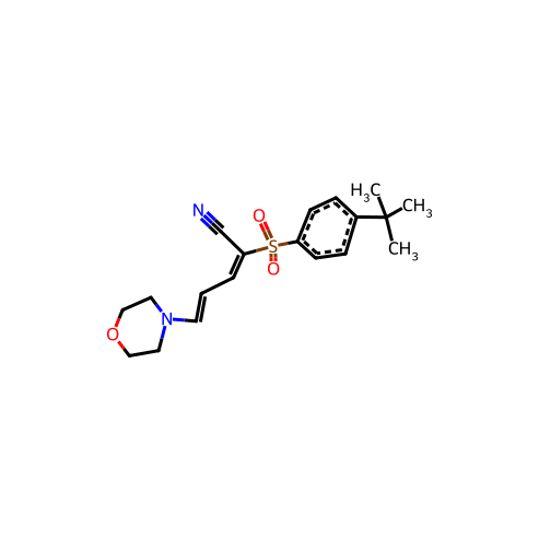 CC(C)(C)c1ccc(S(=O)(=O)C(C#N)=CC=CN2CCOCC2)cc1